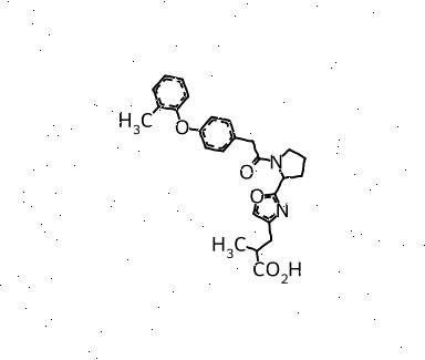 Cc1ccccc1Oc1ccc(CC(=O)N2CCCC2c2nc(CC(C)C(=O)O)co2)cc1